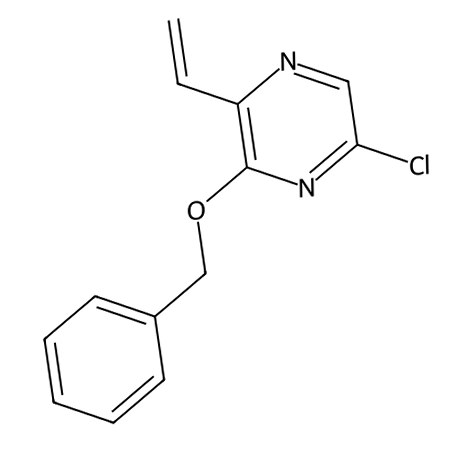 C=Cc1ncc(Cl)nc1OCc1ccccc1